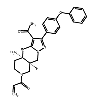 C=CC(=O)N1CC[C@@]2(N)Nc3c(C(N)=O)c(-c4ccc(Oc5ccccc5)cc4)nn3C[C@H]2C1